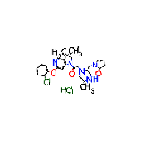 C[C@@H]1CN(CC(=O)N2CC(C)(C)c3cnc(Oc4ccccc4Cl)cc32)[C@@H](CN2CCCC2=O)CN1.Cl